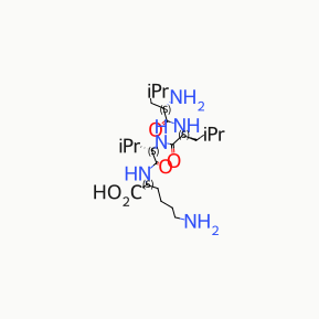 CC(C)C[C@H](NC(=O)[C@@H](N)CC(C)C)C(=O)N[C@H](C(=O)N[C@@H](CCCCN)C(=O)O)C(C)C